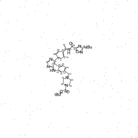 Cc1cc(-c2ncnc3[nH]c4cc(CN5CCN(C(=O)OC(C)(C)C)CC5)ccc4c23)ccc1[C@@H](C)NC(=O)c1nc(C(C)(C)C)no1